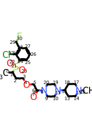 CC(CCOCC(=O)N1CCN(C2CCN(C)CC2)CC1)S(=O)(=O)c1cccc(CF)c1Cl